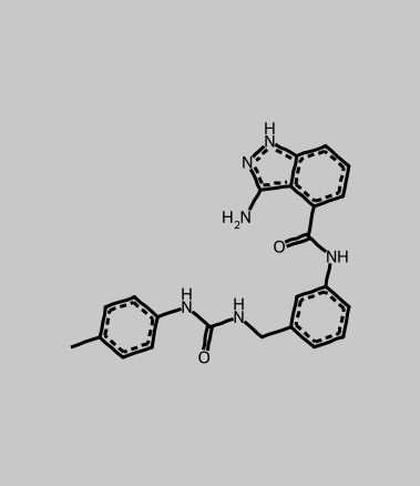 Cc1ccc(NC(=O)NCc2cccc(NC(=O)c3cccc4[nH]nc(N)c34)c2)cc1